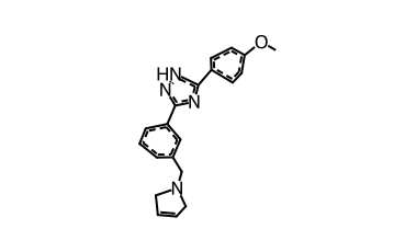 COc1ccc(-c2nc(-c3cccc(CN4CC=CC4)c3)n[nH]2)cc1